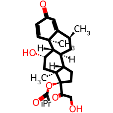 CC(C)C(=O)O[C@]1(C(=O)CO)CC[C@H]2[C@@H]3C[C@H](C)C4=CC(=O)C=C[C@]4(C)[C@H]3[C@@H](O)C[C@@]21C